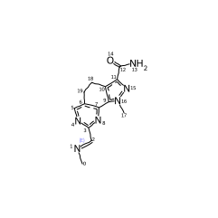 C/N=C/c1ncc2c(n1)-c1c(c(C(N)=O)nn1C)CC2